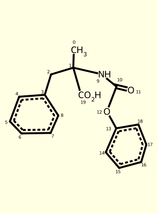 CC(Cc1ccccc1)(NC(=O)Oc1ccccc1)C(=O)O